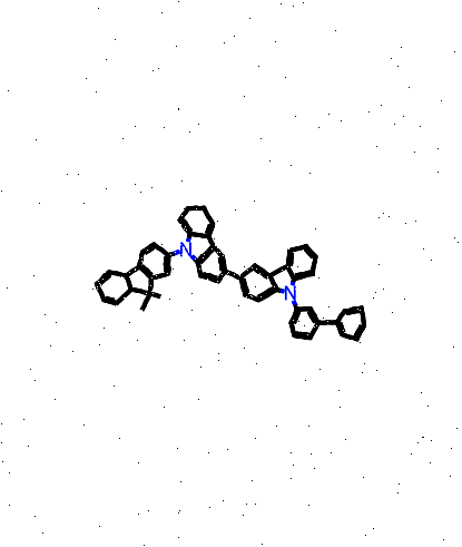 CC1(C)c2cc(-n3c4c(c5cc(-c6ccc7c(c6)c6ccccc6n7-c6cccc(-c7ccccc7)c6)ccc53)=CCCC=4)ccc2C2C=CC=CC21